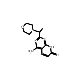 CC(c1nc(N)c2ccc(=O)[nH]c2n1)N1CCOCC1